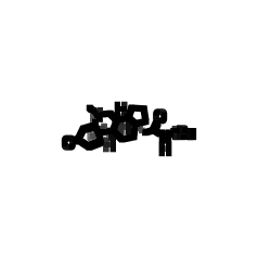 CN1C[C@H]2[C@@H]3CCC[C@@]3(CC(=O)NC(C)(C)C)CC[C@@H]2[C@@]2(C)C=CC(=O)C=C12